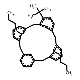 CCCOc1c2cccc1Cc1ccc(C(C)(C)C)c(c1)Cc1cccc(c1OCCC)Cc1cccc(c1)C2